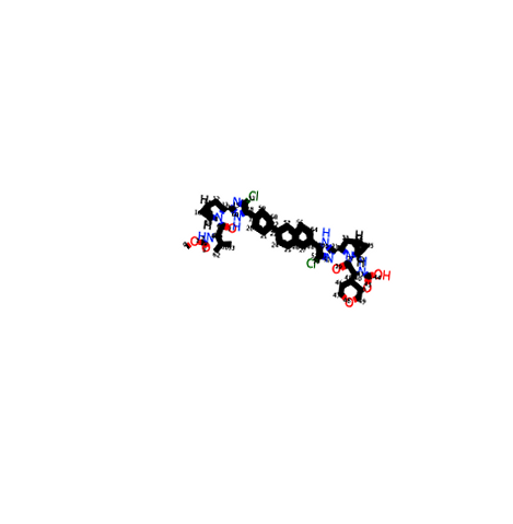 COC(=O)N[C@H](C(=O)N1[C@@H]2C[C@H]2C[C@H]1c1nc(Cl)c(-c2ccc(-c3ccc4cc(-c5[nH]c([C@@H]6C[C@H]7C[C@H]7N6C(=O)[C@@H](NC(=O)O)C6CCOCC6)nc5Cl)ccc4c3)cc2)[nH]1)C(C)C